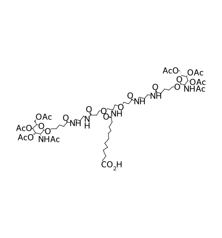 CC(=O)N[C@H]1[C@H](OCCCCC(=O)NCCCNC(=O)CCOCC(COCCC(=O)NCCCNC(=O)CCCCO[C@@H]2O[C@H](COC(C)=O)[C@H](OC(C)=O)[C@H](OC(C)=O)[C@H]2NC(C)=O)NC(=O)CCCCCCCCCCC(=O)O)O[C@H](COC(C)=O)[C@H](OC(C)=O)[C@@H]1OC(C)=O